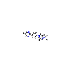 Cc1cnc(-c2ccc(N3C[C@@H]4C[C@H]3CN4C(C)C)cc2)nc1